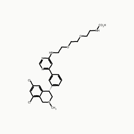 CN1Cc2c(Cl)cc(Cl)cc2[C@H](c2cccc(-c3cc(NCCOCCOCCNC(=O)O)ncn3)c2)C1